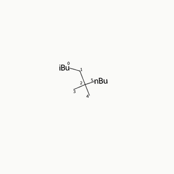 [CH2]CC(C)CC(C)(C)CCCC